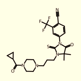 CC1(C)C(=O)N(c2ccc(C#N)c(C(F)(F)F)c2)C(=S)N1CCCN1CCN(C(=O)C2CC2)CC1